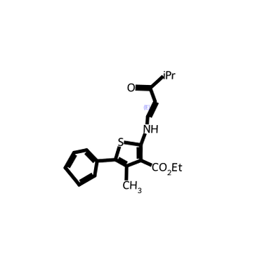 CCOC(=O)c1c(N/C=C/C(=O)C(C)C)sc(-c2ccccc2)c1C